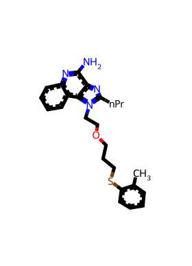 CCCc1nc2c(N)nc3ccccc3c2n1CCOCCCSc1ccccc1C